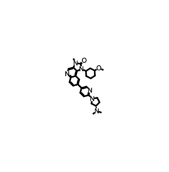 COC1CCCC(n2c(=O)n(C)c3cnc4ccc(-c5ccc(N6CC[C@@H](N(C)C)C6)nc5)cc4c32)C1